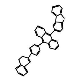 C1=C(c2ccc(-c3c4ccccc4c(-c4ccc5sc6ccccc6c5c4)c4ccccc34)cc2)CCc2ccccc21